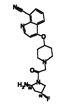 N#Cc1cccc2c(OC3CCN(CC(=O)N4C[C@@H](F)C[C@H]4N)CC3)ccnc12